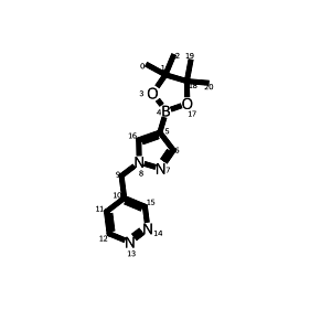 CC1(C)OB(c2cnn(Cc3ccnnc3)c2)OC1(C)C